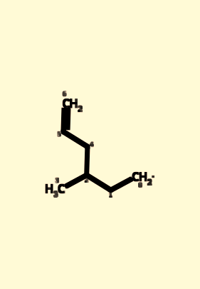 [CH2]CC(C)CC=C